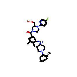 Cc1cc(C(=O)N2CCN(c3ccc(F)cn3)C(CO)C2)cc(NC2CCN(c3ccccc3C#N)CC2)c1C